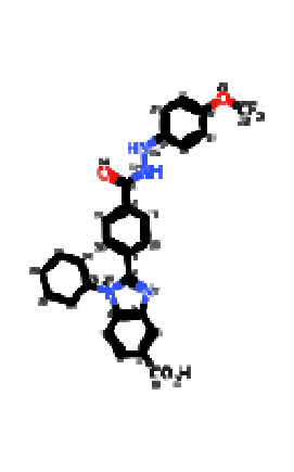 O=C(O)c1ccc2c(c1)nc(-c1ccc(C(=O)NNc3ccc(OC(F)(F)F)cc3)cc1)n2C1CCCCC1